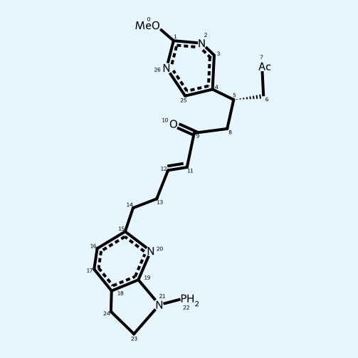 COc1ncc([C@H](CC(C)=O)CC(=O)/C=C/CCc2ccc3c(n2)N(P)CC3)cn1